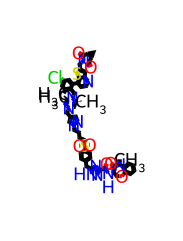 Cc1cc(Cl)cc(-c2ccnc3cc(CN4C(=O)C5CC5C4=O)sc23)c1CN1[C@H](C)CN(Cc2cnn(CCCCS(=O)(=O)c3ccc(Cc4nc(C(=O)N[C@@H]5COc6ccccc6N(C)C5=O)n[nH]4)cc3)c2)C[C@H]1C